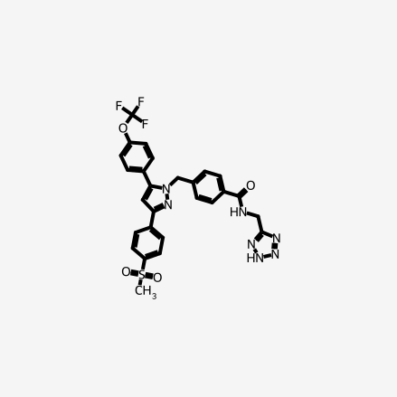 CS(=O)(=O)c1ccc(-c2cc(-c3ccc(OC(F)(F)F)cc3)n(Cc3ccc(C(=O)NCc4nn[nH]n4)cc3)n2)cc1